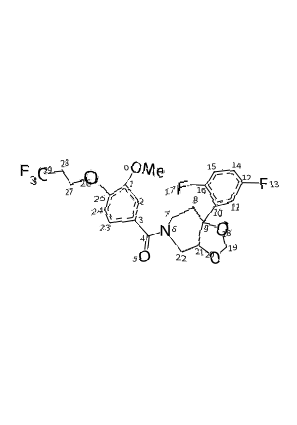 COc1cc(C(=O)N2CCC3(c4cc(F)ccc4F)OCOC3C2)ccc1OCCC(F)(F)F